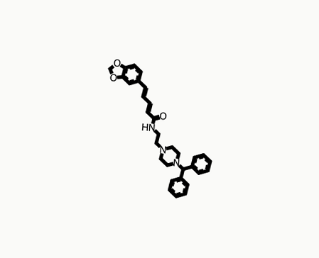 O=C(C=CC=Cc1ccc2c(c1)OCO2)NCCN1CCN(C(c2ccccc2)c2ccccc2)CC1